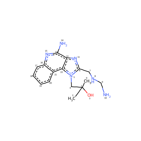 CC(C)(O)Cn1c(CNCN)nc2c(N)nc3ccccc3c21